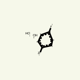 Cl.Cl.Fc1cc[c]([Zr])cc1